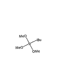 [CH2]CC(C)[Si](OC)(OC)OC